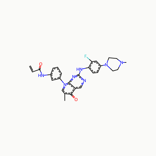 C=CC(=O)Nc1cccc(-n2cc(C)c(=O)c3cnc(Nc4ccc(N5CCN(C)CC5)cc4F)nc32)c1